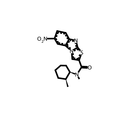 C[C@H]1CCCC[C@H]1N(C)C(=O)c1cn2c(nc3ccc([N+](=O)[O-])cc32)s1